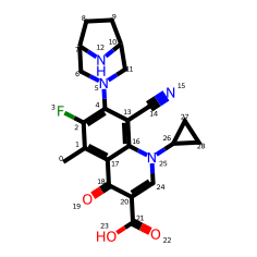 Cc1c(F)c(N2CC3CCC(C2)N3)c(C#N)c2c1c(=O)c(C(=O)O)cn2C1CC1